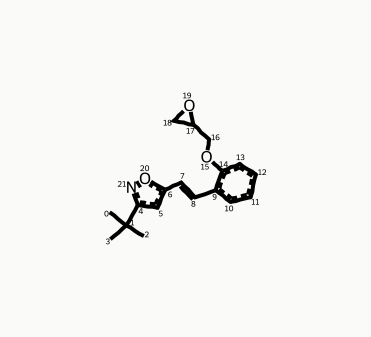 CC(C)(C)c1cc(/C=C/c2ccccc2OCC2CO2)on1